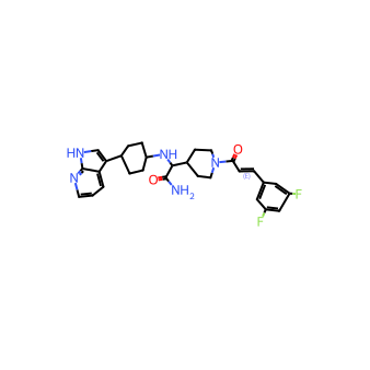 NC(=O)C(NC1CCC(c2c[nH]c3ncccc23)CC1)C1CCN(C(=O)/C=C/c2cc(F)cc(F)c2)CC1